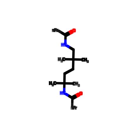 CCCC(=O)NCC(C)(C)CCC(C)(C)NC(=O)CCC